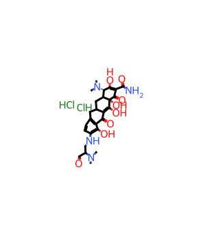 CN(C)C(C=O)CNc1ccc2c(c1O)C(=O)C1=C(O)C3(O)C(=O)C(C(N)=O)=C(O)[C@@H](N(C)C)C3CC1C2.Cl.Cl